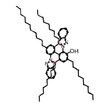 CCCCCCCCCCCc1cc(CCCCCCCCCC)c(-c2c(CCCCCCCCCC)cc(CCCCCCCCCC)c(O)c2-n2nc3ccccc3n2)c(-n2nc3ccccc3n2)c1